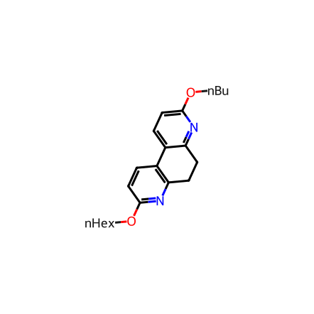 CCCCCCOc1ccc2c(n1)CCc1nc(OCCCC)ccc1-2